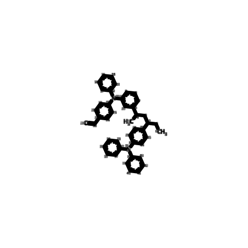 CCC(CC(C)c1cccc(N(c2ccccc2)c2ccc(C=O)cc2)c1)c1ccc(N(c2ccccc2)c2ccccc2)cc1